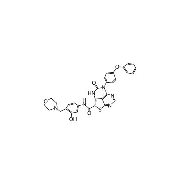 O=C(Nc1ccc(CN2CCOCC2)c(O)c1)c1sc2ncnc3c2c1NC(=O)N3c1ccc(Oc2ccccc2)cc1